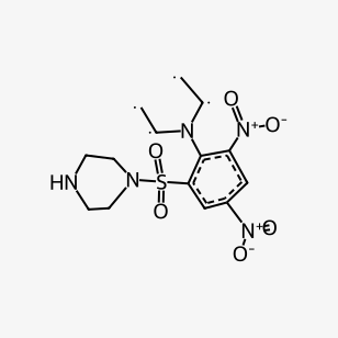 [CH2][CH]N([CH][CH2])c1c([N+](=O)[O-])cc([N+](=O)[O-])cc1S(=O)(=O)N1CCNCC1